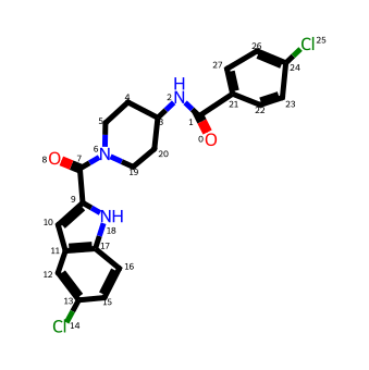 O=C(NC1CCN(C(=O)c2cc3cc(Cl)ccc3[nH]2)CC1)c1ccc(Cl)cc1